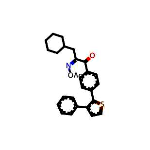 CC(=O)ON=C(CC1CCCCC1)C(=O)c1ccc(-c2sccc2-c2ccccc2)cc1